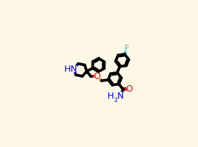 NC(=O)c1cc(COCC2(c3ccccc3)CCNCC2)cc(-c2ccc(F)cc2)c1